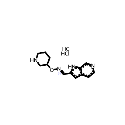 C(=N\OC1CCCNC1)/c1cc2ccncc2[nH]1.Cl.Cl